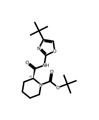 CC(C)(C)OC(=O)N1CCCC[C@H]1C(=O)Nc1nc(C(C)(C)C)co1